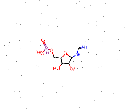 N=CN[C@@H]1O[C@H](CO[PH](=O)O)C(O)C1O